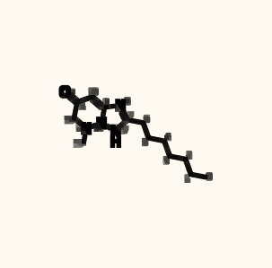 CCCCCCCC1=NC2=CC(=O)CN(C)N2N1